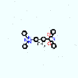 Cc1cc(-c2nc(-c3ccccc3)nc(-c3ccccc3)n2)ccc1-c1ccc(-c2c3oc4ccccc4c3nc3c2oc2ccccc23)cc1